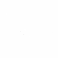 CCCC1CCCCC1CCCOc1ccc(CCC2CCC(C)CC2)cc1